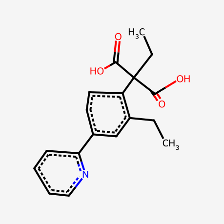 CCc1cc(-c2ccccn2)ccc1C(CC)(C(=O)O)C(=O)O